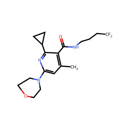 Cc1cc(N2CCOCC2)nc(C2CC2)c1C(=O)NCCCC(F)(F)F